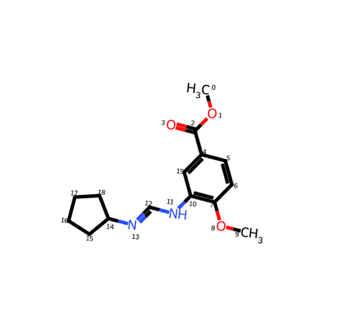 COC(=O)c1ccc(OC)c(NC=NC2CCCC2)c1